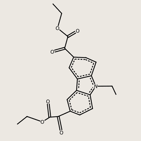 CCOC(=O)C(=O)c1ccc2c(c1)c1cc(C(=O)C(=O)OCC)ccc1n2CC